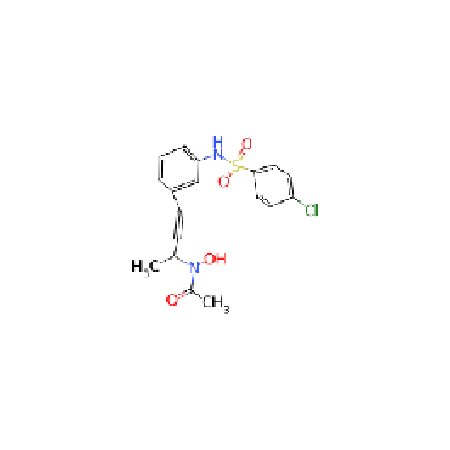 CC(=O)N(O)C(C)C#Cc1cccc(NS(=O)(=O)c2ccc(Cl)cc2)c1